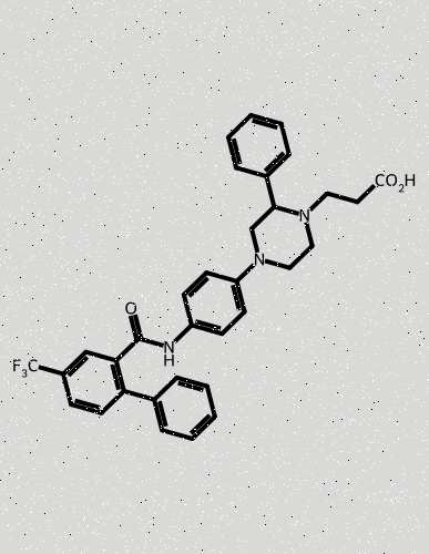 O=C(O)CCN1CCN(c2ccc(NC(=O)c3cc(C(F)(F)F)ccc3-c3ccccc3)cc2)CC1c1ccccc1